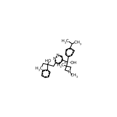 CCC(O)(Cc1cc([C@@](O)(c2ccc(C(C)C)cc2)C2(C)CN(C)C2)cnn1)c1ccccc1